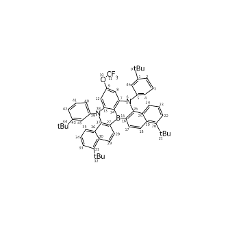 CC(C)(C)c1cccc(N2c3cc(OC(F)(F)F)cc4c3B(c3ccc5c(C(C)(C)C)cccc5c32)c2ccc3c(C(C)(C)C)cccc3c2N4c2cccc(C(C)(C)C)c2)c1